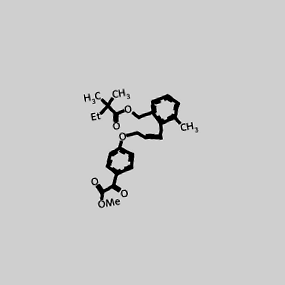 CCC(C)(C)C(=O)OCc1cccc(C)c1/C=C\COc1ccc(C(=O)C(=O)OC)cc1